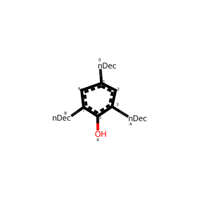 CCCCCCCCCCc1cc(CCCCCCCCCC)c(O)c(CCCCCCCCCC)c1